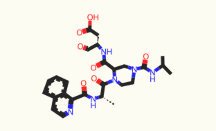 CC(C)NC(=O)N1CCN(C(=O)[C@H](C)NC(=O)c2nccc3ccccc23)C(C(=O)N[C@H](C=O)CC(=O)O)C1